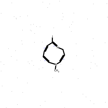 CN1\C=C/C=C\C(I)=N\C/C=C\1